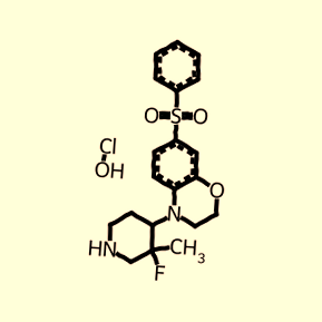 CC1(F)CNCCC1N1CCOc2cc(S(=O)(=O)c3ccccc3)ccc21.OCl